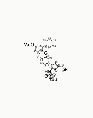 COCCN(Cc1ccc(-c2cc(CC(C)C)sc2NS(=O)(=O)C(C)(C)C)cc1)C(=O)CC1CCCCC1